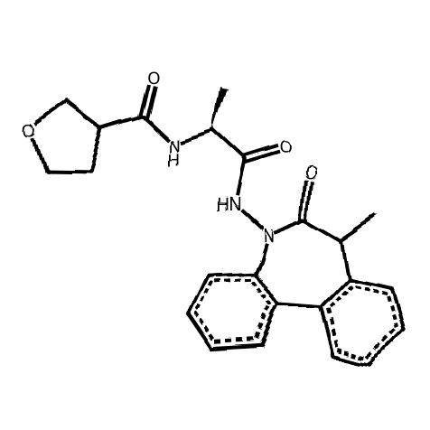 CC1C(=O)N(NC(=O)[C@H](C)NC(=O)C2CCOC2)c2ccccc2-c2ccccc21